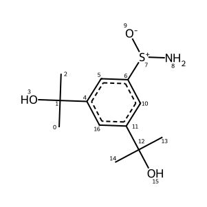 CC(C)(O)c1cc([S+](N)[O-])cc(C(C)(C)O)c1